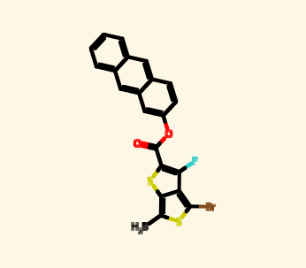 Bc1sc(Br)c2c(F)c(C(=O)Oc3ccc4cc5ccccc5cc4c3)sc12